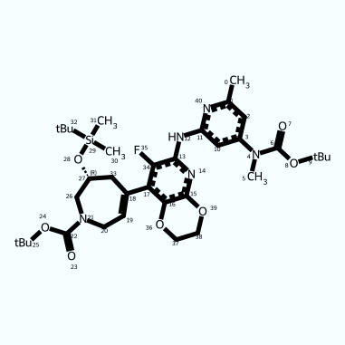 Cc1cc(N(C)C(=O)OC(C)(C)C)cc(Nc2nc3c(c(C4=CCN(C(=O)OC(C)(C)C)C[C@H](O[Si](C)(C)C(C)(C)C)C4)c2F)OCCO3)n1